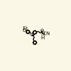 CCOc1ccc(-n2cc(CCc3ccccc3)c3cc(CCC(=O)NC#N)ccc32)cc1